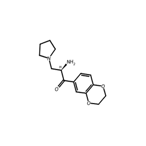 N[C@H](CN1CCCC1)C(=O)c1ccc2c(c1)OCCO2